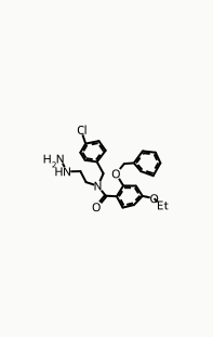 CCOc1ccc(C(=O)N(CCNN)Cc2ccc(Cl)cc2)c(OCc2ccccc2)c1